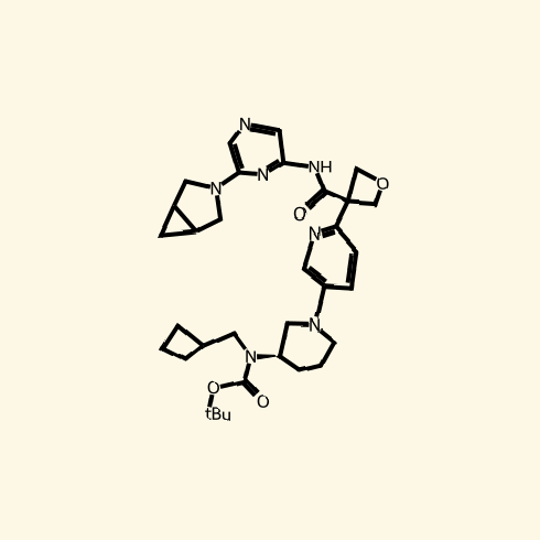 CC(C)(C)OC(=O)N(CC1CCC1)[C@@H]1CCCN(c2ccc(C3(C(=O)Nc4cncc(N5CC6CC6C5)n4)COC3)nc2)C1